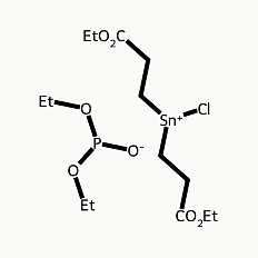 CCOC(=O)C[CH2][Sn+]([Cl])[CH2]CC(=O)OCC.CCOP([O-])OCC